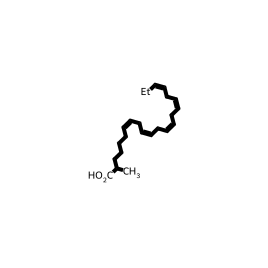 CC/C=C\C/C=C\C/C=C\C/C=C\C/C=C\CCCCC(C)C(=O)O